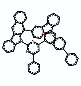 c1ccc(-c2ccc(-n3c4ccccc4c4cc(-c5c6ccccc6cc6c7ccccc7n(-c7nc(-c8ccccc8)cc(-c8ccccc8)n7)c56)ccc43)cc2)cc1